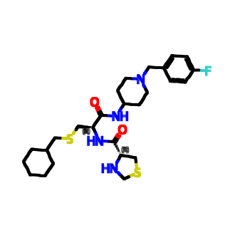 O=C(N[C@@H](CSCC1CCCCC1)C(=O)NC1CCN(Cc2ccc(F)cc2)CC1)[C@@H]1CSCN1